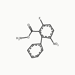 NOC(=O)c1c(F)ccc([N+](=O)[O-])c1-c1ccccc1